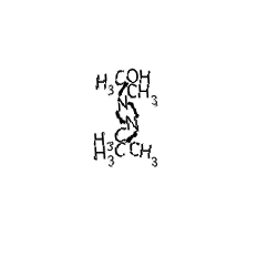 CC(C)(C)CN1CCN(CC(C)(C)O)CC1